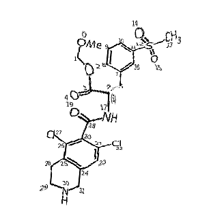 COCOC(=O)[C@H](Cc1cccc(S(C)(=O)=O)c1)NC(=O)c1c(Cl)cc2c(c1Cl)CCNC2